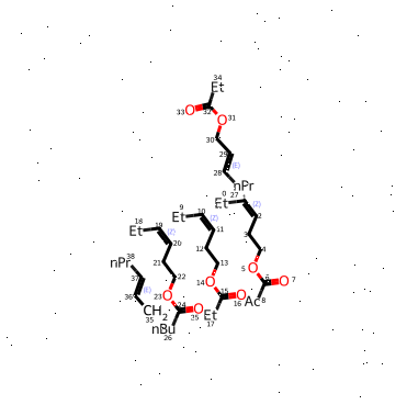 CC/C=C\CCOC(=O)C(C)=O.CC/C=C\CCOC(=O)CC.CC/C=C\CCOC(=O)CCCC.CCC/C=C/COC(=O)CC.[CH2]/C=C/CCC